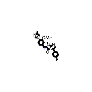 COc1cc(/C=c2/c(=O)n3c(n2C)=NCC3c2ccc(F)cc2)ccc1-n1cnc(C)c1